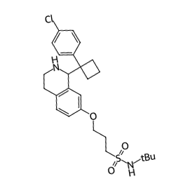 CC(C)(C)NS(=O)(=O)CCCOc1ccc2c(c1)C(C1(c3ccc(Cl)cc3)CCC1)NCC2